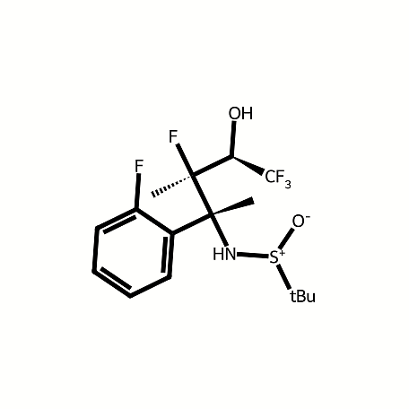 CC(C)(C)[S+]([O-])N[C@](C)(c1ccccc1F)[C@@](C)(F)[C@@H](O)C(F)(F)F